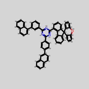 c1cc(-c2nc(-c3ccc(-c4ccc5ccccc5c4)cc3)nc(-c3cccc4c3-c3ccccc3C43c4ccccc4Oc4ccccc43)n2)cc(-c2cccc3ccccc23)c1